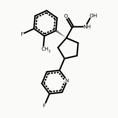 Cc1c(F)cccc1[C@]1(C(=O)NO)CCC(c2ccc(F)cn2)C1